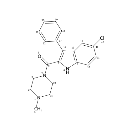 CN1CCN(C(=O)c2[nH]c3ccc(Cl)cc3c2-c2ccccc2)CC1